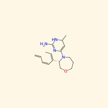 C=C/C=C\C(=C/C)[C@H]1COCCCN1C1=CC(C)NC(N)=N1